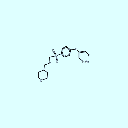 CNC/C(=C\F)Oc1ccc(S(=O)(=O)COCC2CCOCC2)cc1